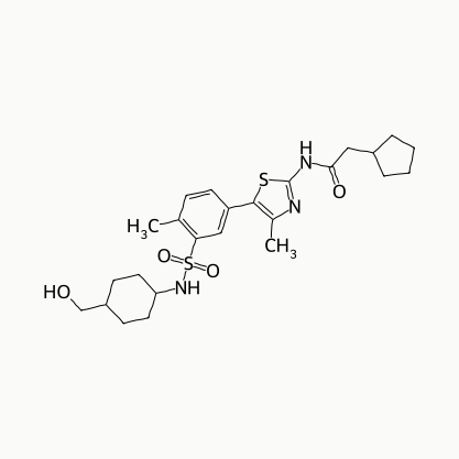 Cc1ccc(-c2sc(NC(=O)CC3CCCC3)nc2C)cc1S(=O)(=O)NC1CCC(CO)CC1